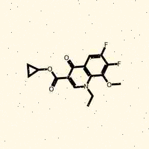 CCn1cc(C(=O)OC2CC2)c(=O)c2cc(F)c(F)c(OC)c21